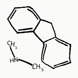 CNC.c1ccc2c(c1)Cc1ccccc1-2